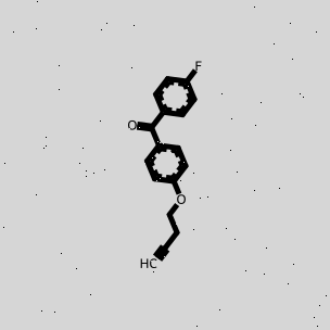 C#CCCOc1ccc(C(=O)c2ccc(F)cc2)cc1